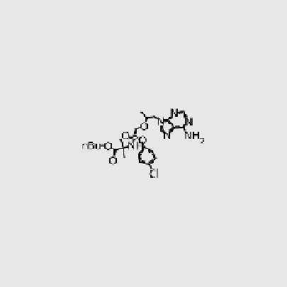 CCCCOC(=O)C(C)(C)NP(=O)(COC(C)Cn1cnc2c(N)ncnc21)Oc1ccc(Cl)cc1